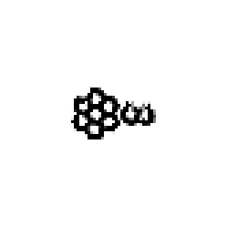 c1cc2ccc3ccc4ccc5ccc6ccc1c1c2c3c4c5c61.c1cnc2ncccc2c1